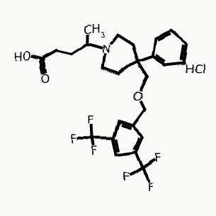 CC(CCC(=O)O)N1CCC(COCc2cc(C(F)(F)F)cc(C(F)(F)F)c2)(c2ccccc2)CC1.Cl